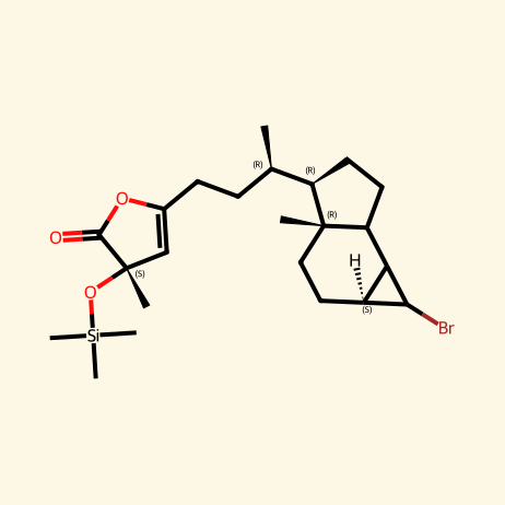 C[C@H](CCC1=C[C@](C)(O[Si](C)(C)C)C(=O)O1)[C@H]1CCC2C3C(Br)[C@H]3CC[C@@]21C